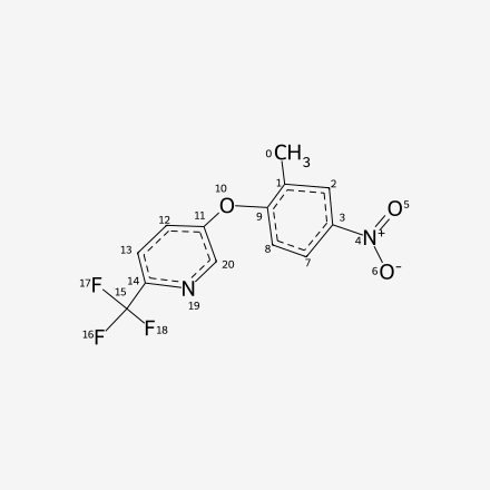 Cc1cc([N+](=O)[O-])ccc1Oc1ccc(C(F)(F)F)nc1